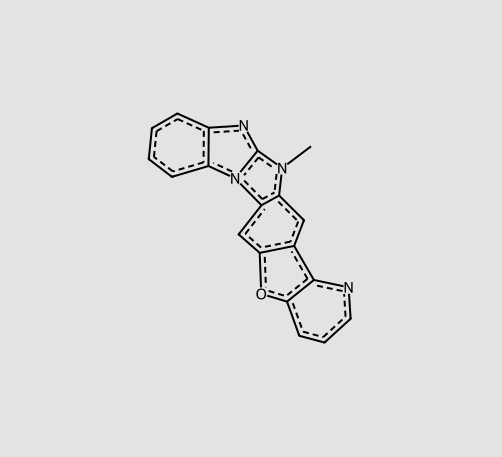 Cn1c2cc3c(cc2n2c4ccccc4nc12)oc1cccnc13